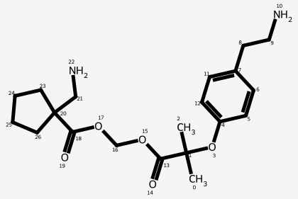 CC(C)(Oc1ccc(CCN)cc1)C(=O)OCOC(=O)C1(CN)CCCC1